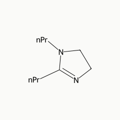 CCCC1=NCCN1CCC